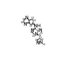 Cn1cc(C2CN=C3C(Nc4ccc5nccnc5c4)=NC=CN32)cn1